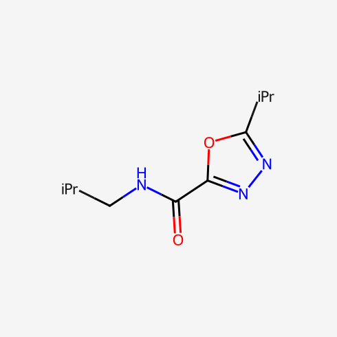 CC(C)CNC(=O)c1nnc(C(C)C)o1